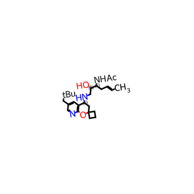 CC=CC[C@H](NC(C)=O)[C@H](O)CN[C@H]1CC2(CCC2)Oc2ncc(CC(C)(C)C)cc21